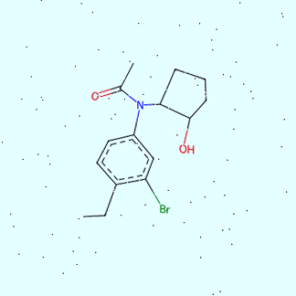 CCc1ccc(N(C(C)=O)C2CCCC2O)cc1Br